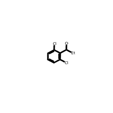 CCC([O])c1c(Cl)cccc1Cl